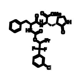 COC(=O)[C@H](C[C@@H]1CCNC1=O)NC(=O)[C@H](Cc1ccccc1)NC(=O)OC(C(C)C)C(F)(F)c1cccc(Cl)c1